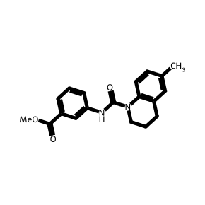 COC(=O)c1cccc(NC(=O)N2CCCc3cc(C)ccc32)c1